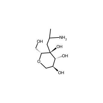 CC(N)C[C@]1(O)[C@H](O)[C@@H](O)CO[C@@H]1CO